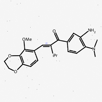 COc1c(/C=C(/C(=O)c2ccc(N(C)C)c(N)c2)C(C)C)ccc2c1OCCO2